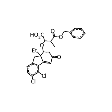 CCC12Cc3ccc(Cl)c(Cl)c3C1=CC(=O)CC2OC(C(=O)O)C(C)C(=O)OCc1ccccc1